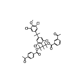 COc1c(Cl)cc(C(C)(C)c2cc(Cl)c(C(C)(C(C)(C)OC(=O)c3ccc(C(C)=O)cc3)C(C)(C)OC(=O)c3cccc(C(C)=O)c3)c(Cl)c2)cc1Cl